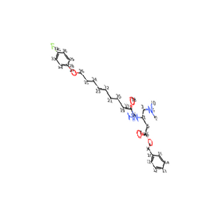 CN(C)CC(CC(=O)OCc1ccccc1)NC(=O)CCCCCCCCOc1ccc(F)cc1